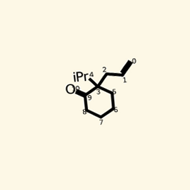 C=CCC1(C(C)C)CCCCC1=O